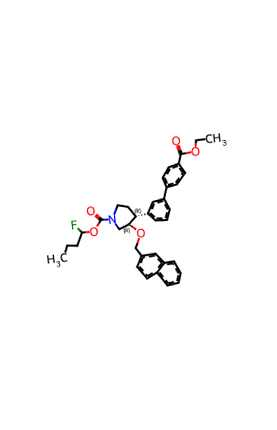 CCCC(F)OC(=O)N1CC[C@H](c2cccc(-c3ccc(C(=O)OCC)cc3)c2)[C@@H](OCc2ccc3ccccc3c2)C1